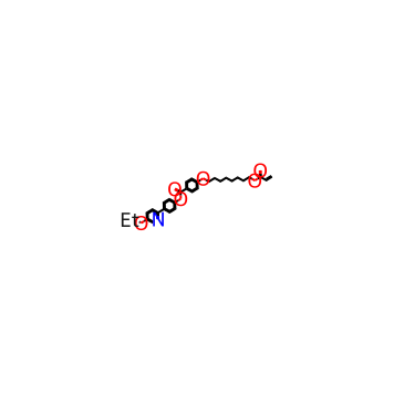 C=CC(=O)OCCCCCCCCOc1ccc(C(=O)Oc2ccc(-c3ccc(OCC)cn3)cc2)cc1